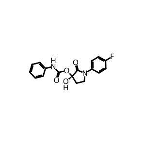 O=C(Nc1ccccc1)O[C@@]1(O)CCN(c2ccc(F)cc2)C1=O